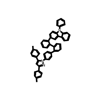 Cc1ccc(-c2cc(-c3ccc(C)cc3)n(-c3ccc(-c4ccccc4-c4ccccc4-c4ccc5c(c4)c4ccccc4n5-c4ccccc4)cc3)n2)cc1